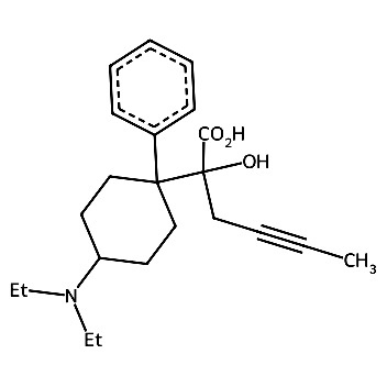 CC#CCC(O)(C(=O)O)C1(c2ccccc2)CCC(N(CC)CC)CC1